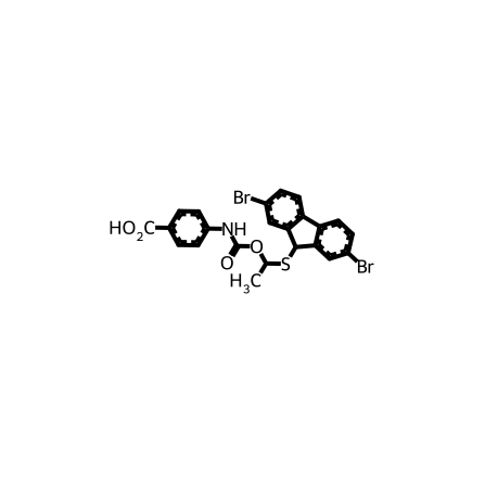 CC(OC(=O)Nc1ccc(C(=O)O)cc1)SC1c2cc(Br)ccc2-c2ccc(Br)cc21